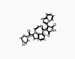 O=C1NC(=O)C(c2cnc3ccccn23)=C1C1=NC=CN2c3c(cccc31)CC2C(=O)N1CCNCC1